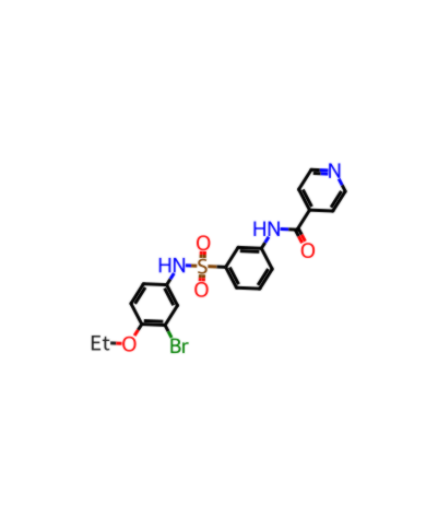 CCOc1ccc(NS(=O)(=O)c2cccc(NC(=O)c3ccncc3)c2)cc1Br